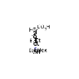 CCCCCCC(O)(/C=C/c1ccc(C(CC)(CC)c2ccc(OCC(O)CCC(=O)O)c(C)c2)cc1C)CC